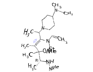 C=CN(CC)/C(=C(/C)C(C)(OC)[C@@H](C)NNC)C(C)N1CCC(N(C)C)CC1